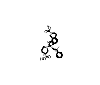 COC(=O)N1CCc2ccc3c(nc(N4CCC[C@@H](C(=O)O)C4)n3C[C@H](C)c3ccccc3)c2C1